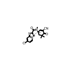 CN(C(=O)c1nc2cc(Cl)ccn2n1)[C@@]1(C)C=C(C#N)C(=O)C(C)(C)C1